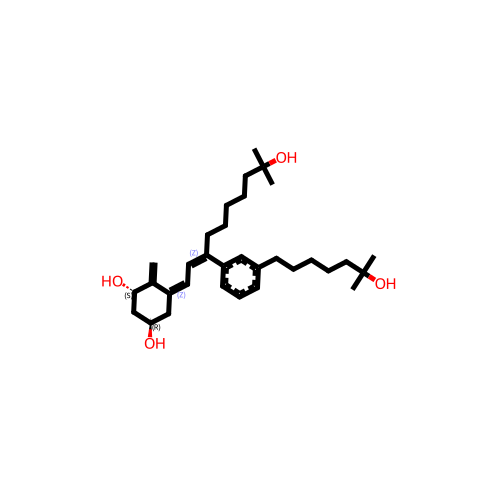 C=C1/C(=C\C=C(\CCCCCC(C)(C)O)c2cccc(CCCCCC(C)(C)O)c2)C[C@@H](O)C[C@@H]1O